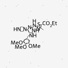 CCOC(=O)c1sc(NC2=NC(N3CCNCC3)=CC(C)(NCc3cc(OC)c(OC)c(OC)c3)N2)nc1C